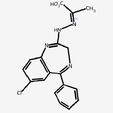 C/C(=N/NC1=Nc2ccc(Cl)cc2C(c2ccccc2)=NC1)C(=O)O